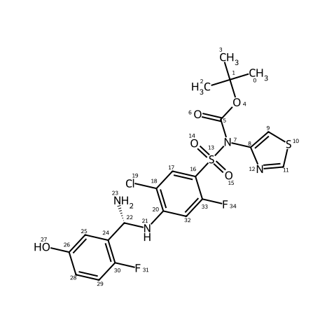 CC(C)(C)OC(=O)N(c1cscn1)S(=O)(=O)c1cc(Cl)c(N[C@@H](N)c2cc(O)ccc2F)cc1F